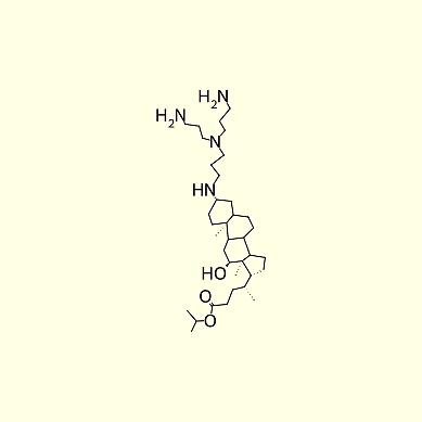 CC(C)OC(=O)CC[C@@H](C)[C@H]1CCC2C3CCC4C[C@@H](NCCCN(CCCN)CCCN)CC[C@]4(C)C3C[C@H](O)[C@@]21C